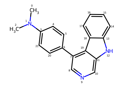 CN(C)c1ccc(-c2cncc3[nH]c4ccccc4c23)cc1